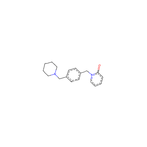 O=c1ccccn1Cc1ccc(CN2CCCCC2)cc1